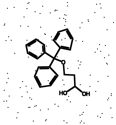 OC(O)CCOC(c1ccccc1)(c1ccccc1)c1ccccc1